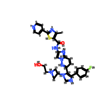 Cc1nc(-c2ccncc2)sc1C(=O)Nc1cn2nc(-c3c(-c4ccc(F)cc4)ncn3C3CN(CCO)C3)ccc2n1